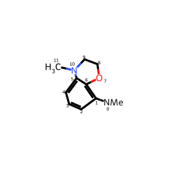 CNc1cccc2c1OCCN2C